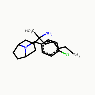 BCCCCC(N)(C(=O)O)C1CC2CCC(C1)N2Cc1ccc(Cl)cc1